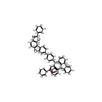 c1ccc(-c2cccc(N(c3ccc(-c4ccc5c(c4)oc4ccc6nc(-c7ccccc7)oc6c45)cc3)c3cccc4c5ccccc5n(-c5ccccc5)c34)c2)cc1